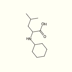 CC(C)CC(NC1CCCCC1)C(=O)O